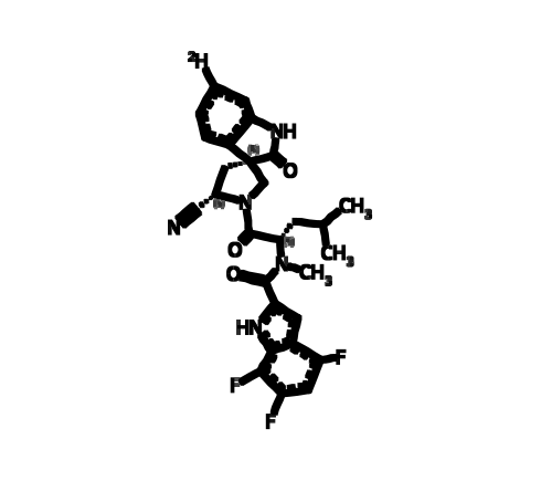 [2H]c1ccc2c(c1)NC(=O)[C@]21C[C@@H](C#N)N(C(=O)[C@H](CC(C)C)N(C)C(=O)c2cc3c(F)cc(F)c(F)c3[nH]2)C1